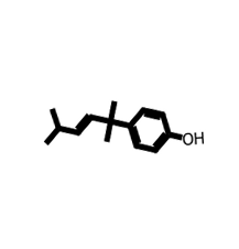 CC(C)C=CC(C)(C)c1ccc(O)cc1